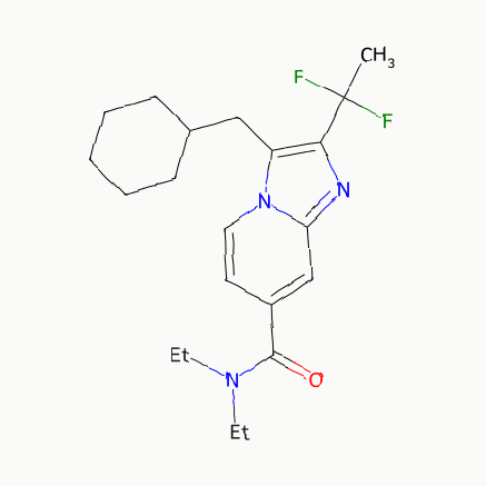 CCN(CC)C(=O)c1ccn2c(CC3CCCCC3)c(C(C)(F)F)nc2c1